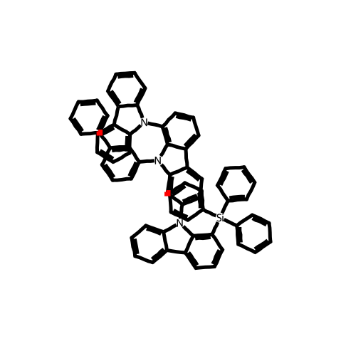 c1ccc(-c2cccc(-n3c4cc(-n5c6ccccc6c6cccc([Si](c7ccccc7)(c7ccccc7)c7ccccc7)c65)ccc4c4cccc(-n5c6ccccc6c6ccccc65)c43)c2)cc1